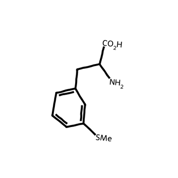 CSc1cccc(CC(N)C(=O)O)c1